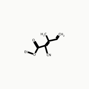 C=CC(C)=C(C#N)C(=O)OCC